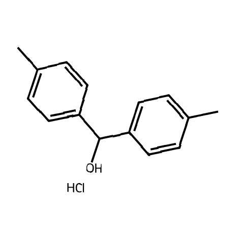 Cc1ccc(C(O)c2ccc(C)cc2)cc1.Cl